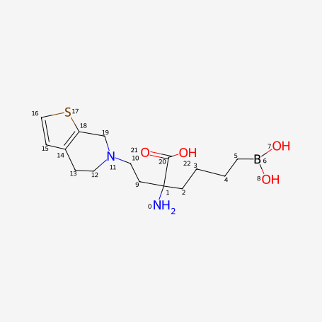 NC(CCCCB(O)O)(CCN1CCc2ccsc2C1)C(=O)O